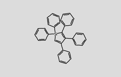 C1=C(c2ccccc2)C(c2ccccc2)=C(c2ccccc2)[Si]1(c1ccccc1)c1ccccc1